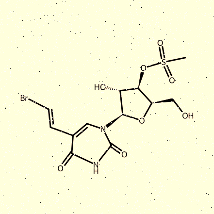 CS(=O)(=O)O[C@@H]1[C@@H](O)[C@H](n2cc(C=CBr)c(=O)[nH]c2=O)O[C@@H]1CO